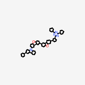 c1ccc(-c2ccc3c(c2)c2ccccc2n3-c2ccc3oc4ccc(-c5ccc6oc7cc(-c8cccc(-c9nc(-c%10ccccc%10)nc(-c%10ccccc%10)n9)c8)ccc7c6c5)cc4c3c2)cc1